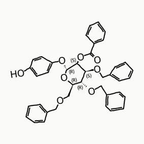 O=C(O[C@@H]1[C@@H](Oc2ccc(O)cc2)O[C@H](COCc2ccccc2)[C@@H](OCc2ccccc2)[C@@H]1OCc1ccccc1)c1ccccc1